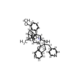 COc1cccc(C(=O)/C=C2/NC(Cc3ccncc3)(Cc3ccncc3)C(=O)N2CC2CC3CC(C2C)C3(C)C)c1